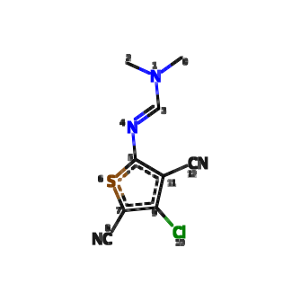 CN(C)/C=N/c1sc(C#N)c(Cl)c1C#N